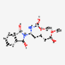 CC(C)(C)OC(=O)CCCC(NC(=O)OC(C)(C)C)N1C(=O)c2ccccc2C1=O